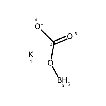 BOC(=O)[O-].[K+]